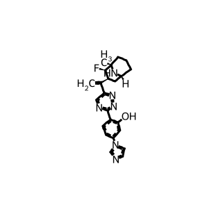 C=C(c1cnc(-c2ccc(-n3ccnc3)cc2O)nn1)[C@@H]1C[C@H]2CCC[C@](C)(N2)[C@@H]1F